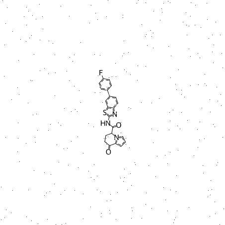 O=C1CCC(C(=O)Nc2nc3ccc(-c4ccc(F)cc4)cc3s2)n2cccc21